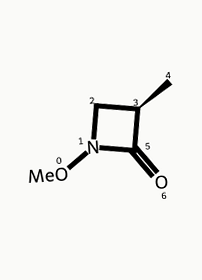 CON1C[C@@H](C)C1=O